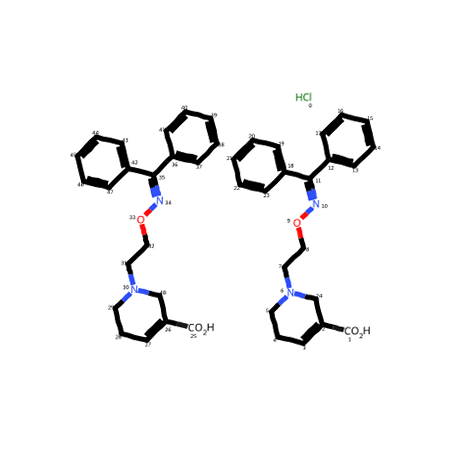 Cl.O=C(O)C1=CCCN(CCON=C(c2ccccc2)c2ccccc2)C1.O=C(O)C1=CCCN(CCON=C(c2ccccc2)c2ccccc2)C1